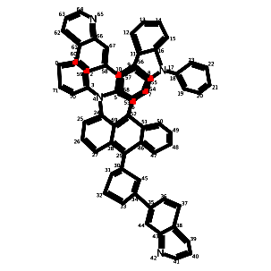 c1ccc(N(c2ccc3c(c2)c2ccccc2n3-c2ccccc2)c2cccc3c(-c4cccc(-c5ccc6cccnc6c5)c4)c4ccccc4c(-c4cccc(-c5ccc6cccnc6c5)c4)c23)cc1